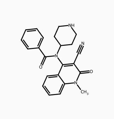 Cn1c(=O)c(C#N)c(N(C(=O)c2ccccc2)C2CCNCC2)c2ccccc21